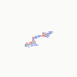 CN[C@@H](C)C(=O)NC(C(=O)N1CCC[C@H]1C(=O)N[C@@H]1CCCc2ccccc21)C1CCN(C(=O)c2cnc(N3CCN(CCCOc4cc5ncnc(Nc6n[nH]c(C)c6C)c5cc4S(=O)(=O)C(C)(C)C)CC3)nc2)CC1